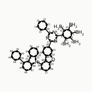 Bc1c(B)c(B)c(-c2nc(-c3ccccc3)nc(-c3ccc4c(c3)oc3cccc(-n5c6ccccc6c6c(-c7ccccc7)cccc65)c34)n2)c(B)c1B